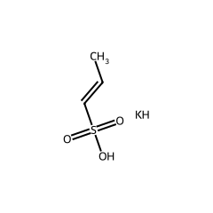 CC=CS(=O)(=O)O.[KH]